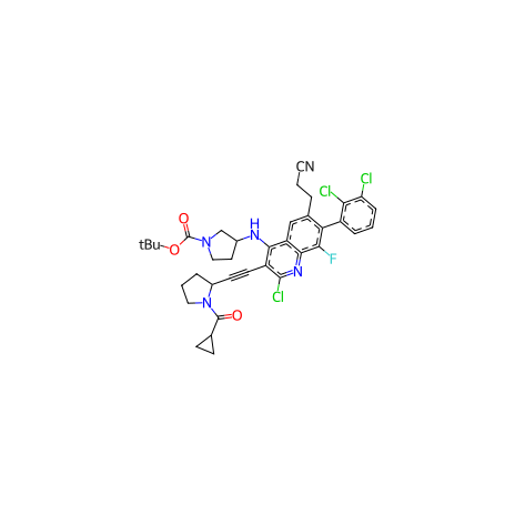 CC(C)(C)OC(=O)N1CCC(Nc2c(C#CC3CCCN3C(=O)C3CC3)c(Cl)nc3c(F)c(-c4cccc(Cl)c4Cl)c(CCC#N)cc23)C1